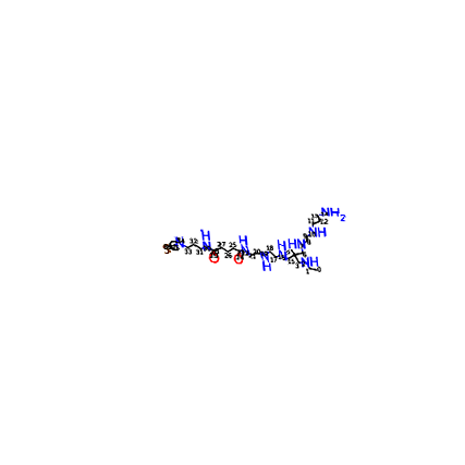 CCNC[C@@](C)(CNCCNCCCN)CNCCNCCNC(=O)CCCC(=O)NCCCN=C=S